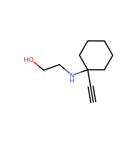 C#CC1(NCCO)CCCCC1